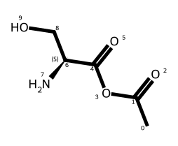 CC(=O)OC(=O)[C@@H](N)CO